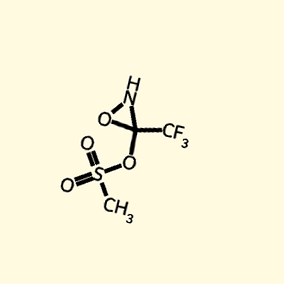 CS(=O)(=O)OC1(C(F)(F)F)NO1